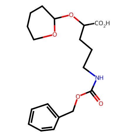 O=C(NCCCC(OC1CCCCO1)C(=O)O)OCc1ccccc1